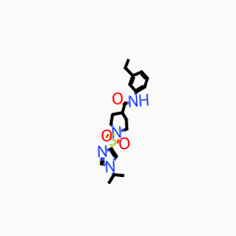 CCc1cccc(NC(=O)C2CCN(S(=O)(=O)c3cn(C(C)C)cn3)CC2)c1